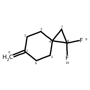 C=C1CCC2(CC1)CC2(F)F